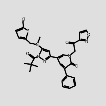 CN(Cc1ccc(Cl)s1)c1cc(-c2cc(-c3ccccc3)c(=O)n(CC(=O)c3ccon3)c2)nn1C(=O)C(C)(C)C